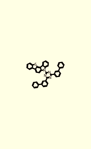 c1ccc(-c2cccc(-c3nc(-c4cccc(-c5ccccc5)c4)nc(-n4c5ccccc5c5c6sc7ccccc7c6ccc54)n3)c2)cc1